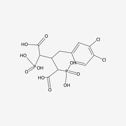 O=C(O)C(C(Cc1ccc(Cl)c(Cl)c1)C(C(=O)O)P(=O)(O)O)P(=O)(O)O